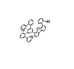 N#Cc1ccccc1-c1cccc2c1oc1c(-c3cc(-c4ccccc4-c4cccnc4)cc(-c4ccccc4-c4cccnc4)c3)cccc12